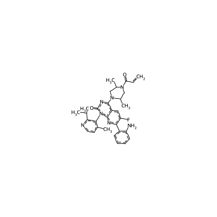 C=CC(=O)N1CC(C)N(c2nc(=O)n(-c3c(C)ccnc3C(C)C)c3nc(-c4ccccc4N)c(F)cc23)CC1C